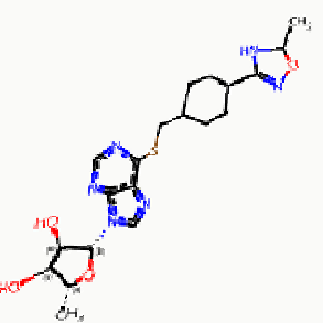 CC1NC(C2CCC(CSc3ncnc4c3ncn4[C@@H]3O[C@H](C)[C@@H](O)[C@H]3O)CC2)=NO1